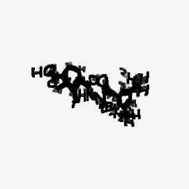 [2H]C([2H])([2H])c1cc(C(=O)N(NC(=O)c2ccc3c(c2F)COB3O)C(C)(C)C)cc(C([2H])([2H])[2H])c1